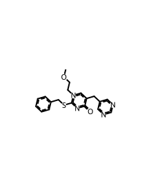 COCCn1cc(Cc2cncnc2)c(=O)nc1SCc1ccccc1